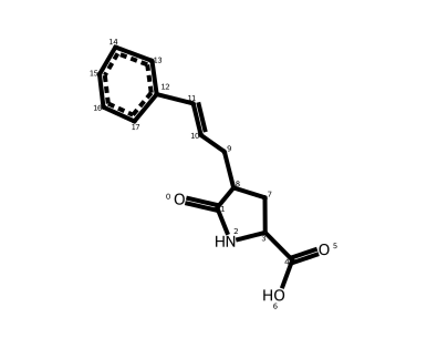 O=C1NC(C(=O)O)CC1CC=Cc1ccccc1